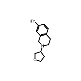 CC(C)c1ccc2c(c1)CN(C1CCOC1)CC2